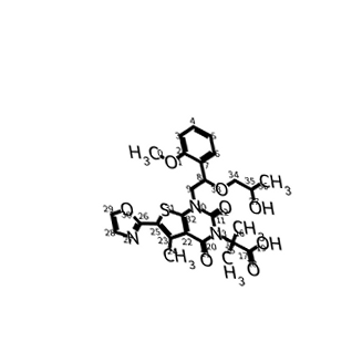 COc1ccccc1C(Cn1c(=O)n(C(C)(C)C(=O)O)c(=O)c2c(C)c(-c3ncco3)sc21)OCC(C)O